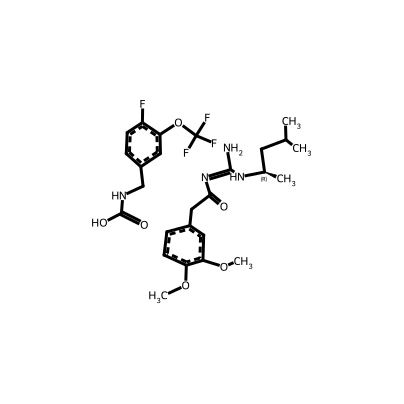 COc1ccc(CC(=O)N=C(N)N[C@H](C)CC(C)C)cc1OC.O=C(O)NCc1ccc(F)c(OC(F)(F)F)c1